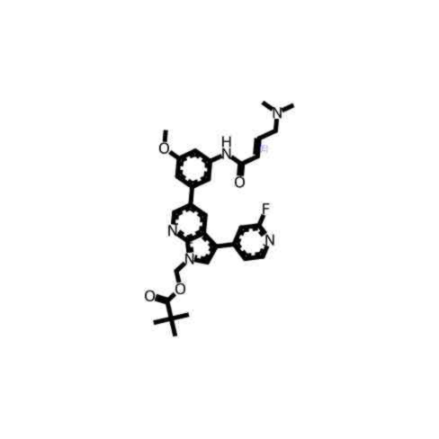 COc1cc(NC(=O)/C=C/CN(C)C)cc(-c2cnc3c(c2)c(-c2ccnc(F)c2)cn3COC(=O)C(C)(C)C)c1